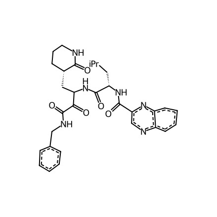 CC(C)C[C@H](NC(=O)c1cnc2ccccc2n1)C(=O)NC(C[C@@H]1CCCNC1=O)C(=O)C(=O)NCc1ccccc1